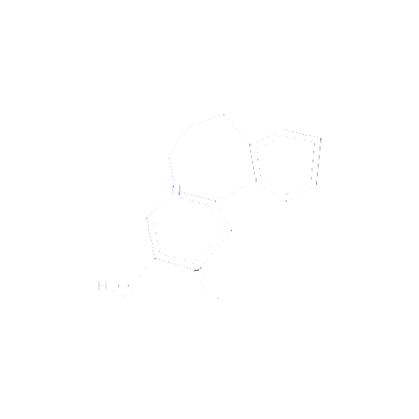 O=C(O)c1cn2c(cc1=O)-c1ccccc1CCC2